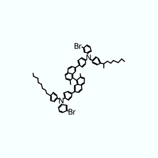 CCCCCCCCc1ccc(N(c2ccc(-c3ccc4ccc(C)c(-c5c(C)ccc6ccc(-c7ccc(N(c8ccc(C(C)CCCCCC)cc8)c8cccc(Br)c8)cc7)cc56)c4c3)cc2)c2cccc(Br)c2)cc1